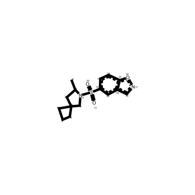 CC1CC2(CCC2)CN1S(=O)(=O)c1ccc2oncc2c1